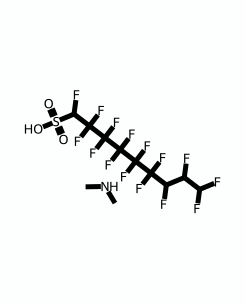 CNC.O=S(=O)(O)C(F)C(F)(F)C(F)(F)C(F)(F)C(F)(F)C(F)(F)C(F)C(F)C(F)F